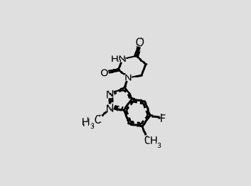 Cc1cc2c(cc1F)c(N1CCC(=O)NC1=O)nn2C